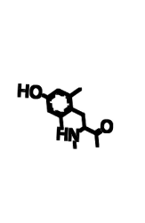 CNC(Cc1c(C)cc(O)cc1C)C(C)=O